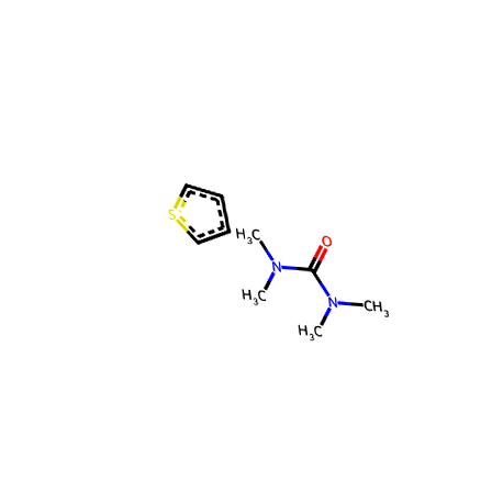 CN(C)C(=O)N(C)C.c1ccsc1